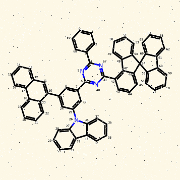 c1ccc(-c2nc(-c3cc(-c4cc5ccccc5c5ccccc45)cc(-n4c5ccccc5c5ccccc54)c3)nc(-c3cccc4c3-c3ccccc3C43c4ccccc4-c4ccccc43)n2)cc1